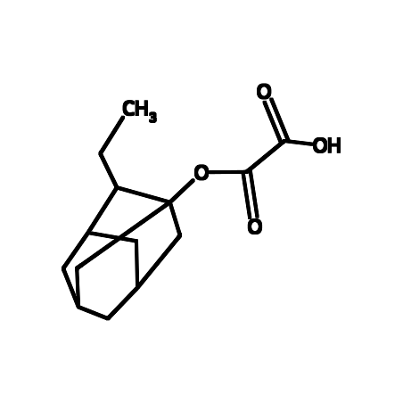 CCC1C2CC3CC(C2)CC1(OC(=O)C(=O)O)C3